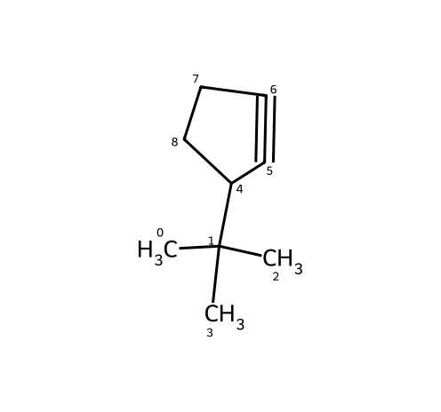 CC(C)(C)C1C#CCC1